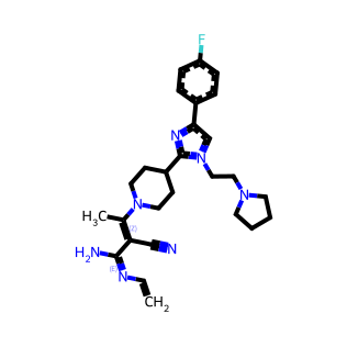 C=C/N=C(N)\C(C#N)=C(/C)N1CCC(c2nc(-c3ccc(F)cc3)cn2CCN2CCCC2)CC1